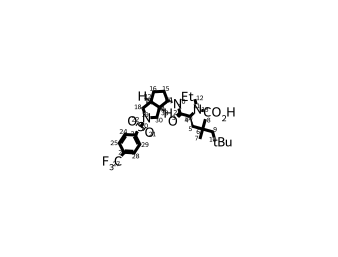 CCN(C(=O)[C@H](CC(C)(C)CC(C)(C)C)N(C)C(=O)O)[C@H]1CC[C@@H]2CN(S(=O)(=O)c3ccc(C(F)(F)F)cc3)C[C@@H]21